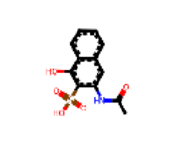 CC(=O)Nc1cc2ccccc2c(O)c1S(=O)(=O)O